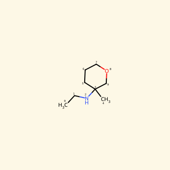 CCNC1(C)CCCOC1